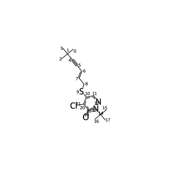 CC(C)(C)C#CC=CCSc1cnn(C(C)(C)C)c(=O)c1Cl